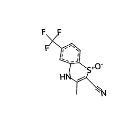 CC1=C(C#N)[S+]([O-])c2ccc(C(F)(F)F)cc2N1